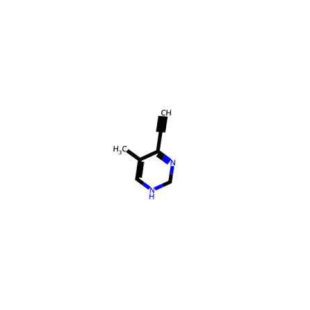 C#CC1=NCNC=C1C